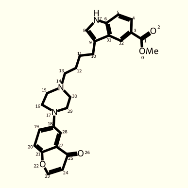 COC(=O)c1ccc2[nH]cc(CCCCN3CCN(c4ccc5occc(=O)c5c4)CC3)c2c1